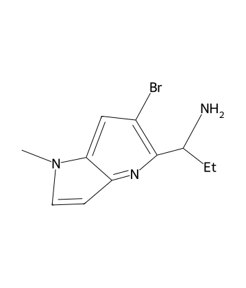 CCC(N)c1nc2ccn(C)c2cc1Br